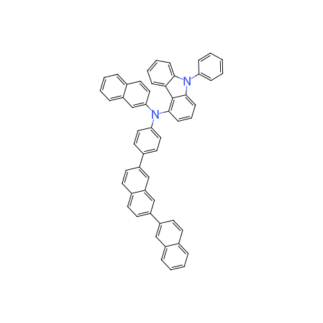 c1ccc(-n2c3ccccc3c3c(N(c4ccc(-c5ccc6ccc(-c7ccc8ccccc8c7)cc6c5)cc4)c4ccc5ccccc5c4)cccc32)cc1